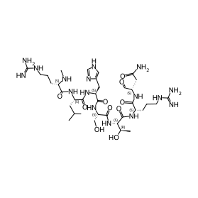 CN[C@@H](CCCNC(=N)N)C(=O)N[C@@H](CC(C)C)C(=O)N[C@@H](Cc1c[nH]cn1)C(=O)N[C@@H](CO)C(=O)N[C@H](C(=O)N[C@@H](CCCNC(=N)N)C(=O)N[C@H](C=O)CC(N)=O)[C@@H](C)O